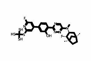 CN(c1cnc(-c2ccc(-c3cc(F)nc(SC(S)(S)S)c3)cc2O)nn1)[C@@H]1C[C@@]2(C)CC[C@](C)(C2)[C@@H]1F